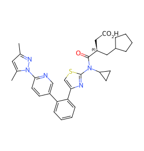 Cc1cc(C)n(-c2ccc(-c3ccccc3-c3csc(N(C(=O)[C@@H](CC(=O)O)CC4CCCC4)C4CC4)n3)cn2)n1